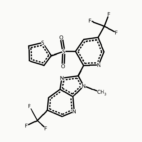 Cn1c(-c2ncc(C(F)(F)F)cc2S(=O)(=O)c2cccs2)nc2cc(C(F)(F)F)cnc21